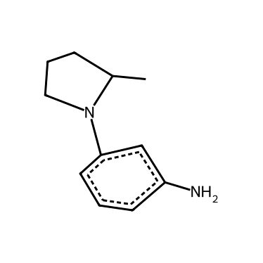 CC1CCCN1c1cccc(N)c1